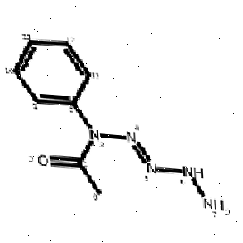 CC(=O)N(N=NNN)c1ccccc1